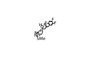 CSc1nnc2n1CCN(C(=O)C[C@H](N)Cc1cc(F)c(F)cc1F)C2